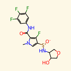 Cn1cc([S+]([O-])NC2COCC2O)c(F)c1C(=O)Nc1cc(F)c(F)c(F)c1